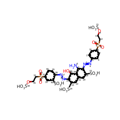 Nc1c(/N=N/c2ccc(S(=O)(=O)CCOS(=O)(=O)O)cc2)c(S(=O)(=O)O)cc2cc(S(=O)(=O)O)c(/N=N/c3ccc(S(=O)(=O)CCOS(=O)(=O)O)cc3S(=O)(=O)O)c(O)c12